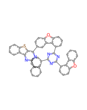 c1ccc(-c2nc(-c3cccc4oc5ccccc5c34)nc(-c3cccc4oc5ccc(-c6nc(-c7ccccc7)nc7c6sc6ccccc67)cc5c34)n2)cc1